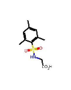 Cc1cc(C)c(S(=O)(=O)NCC(=O)O)c(C)c1